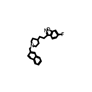 Fc1ccc2c(CCC3CCN(Cc4ccc5ccccc5c4)CC3)noc2c1